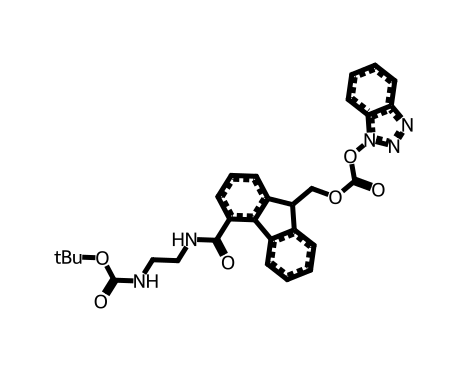 CC(C)(C)OC(=O)NCCNC(=O)c1cccc2c1-c1ccccc1C2COC(=O)On1nnc2ccccc21